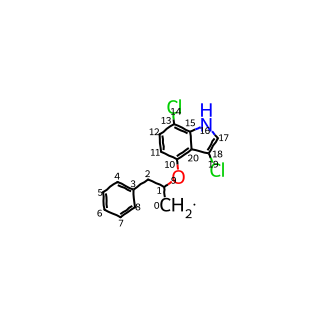 [CH2]C(Cc1ccccc1)Oc1ccc(Cl)c2[nH]cc(Cl)c12